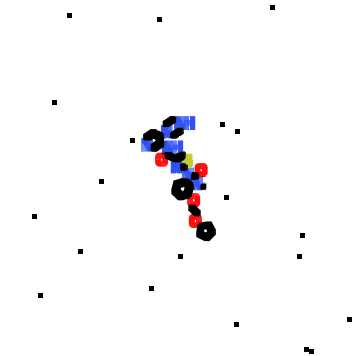 Cn1c(=O)n(-c2nc(C(=O)Nc3cnccc3N3CCNCC3)cs2)c2cccc(OCCOC3CCCC3)c21